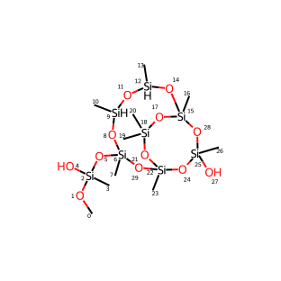 CO[Si](C)(O)O[Si]1(C)O[SiH](C)O[SiH](C)O[Si]2(C)O[Si](C)(C)O[Si](C)(O[Si](C)(O)O2)O1